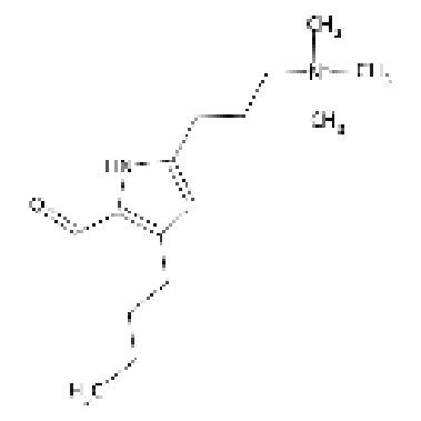 CCCCc1cc(CCC[N+](C)(C)C)[nH]c1C=O